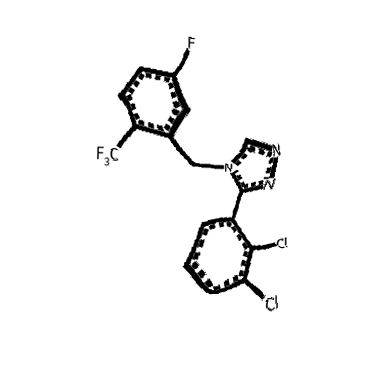 Fc1ccc(C(F)(F)F)c(Cn2cnnc2-c2cccc(Cl)c2Cl)c1